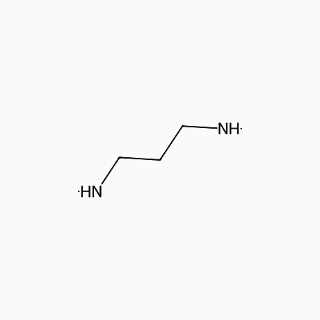 [NH]CCC[NH]